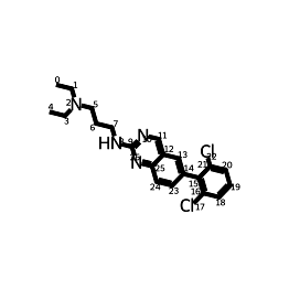 CCN(CC)CCCNc1ncc2cc(-c3c(Cl)cccc3Cl)ccc2n1